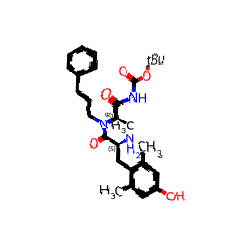 Cc1cc(O)cc(C)c1C[C@H](N)C(=O)N(CCCc1ccccc1)[C@H](C)C(=O)NC(=O)OC(C)(C)C